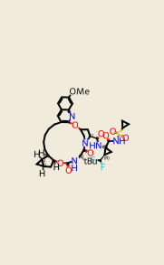 COc1ccc2cc3c(nc2c1)OC1C[C@@H](C(=O)N[C@]2(C(=O)NS(=O)(=O)C4CC4)C[C@H]2C(F)F)N(C1)C(=O)[C@H](C(C)(C)C)NC(=O)O[C@@H]1C[C@@H]2C[C@@H]2[C@H]1CCCCC3